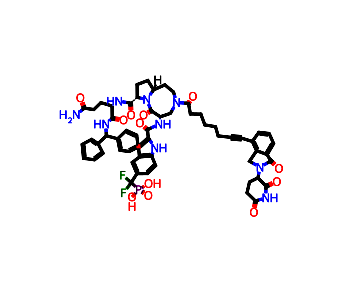 NC(=O)CCC(NC(=O)[C@@H]1CC[C@@H]2CCN(C(=O)CCCCCC#Cc3cccc4c3CN(C3CCC(=O)NC3=O)C4=O)C[C@H](NC(=O)c3cc4cc(C(F)(F)P(=O)(O)O)ccc4[nH]3)C(=O)N21)C(=O)NC(c1ccccc1)c1ccccc1